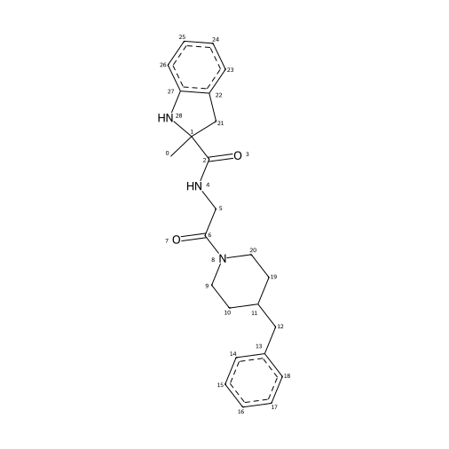 CC1(C(=O)NCC(=O)N2CCC(Cc3ccccc3)CC2)Cc2ccccc2N1